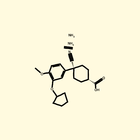 C=C.COc1ccc([C@]2(C#N)CC[C@@H](C(=O)O)CC2)cc1OC1CCCC1.N.N